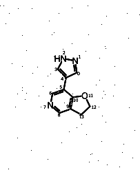 c1n[nH]cc1-c1cncc2c1OCC2